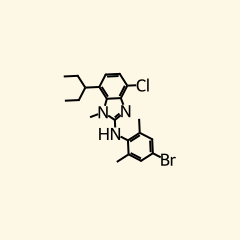 CCC(CC)c1ccc(Cl)c2nc(Nc3c(C)cc(Br)cc3C)n(C)c12